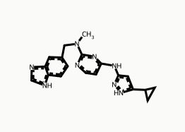 CN(Cc1ccc2[nH]cnc2c1)c1nccc(Nc2cc(C3CC3)[nH]n2)n1